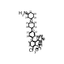 CS(=O)(=O)c1c(C(F)(F)F)ccc(-c2ccc(C3CCN(C4CCCC(N)C4)CC3)cc2)c1-c1nnn[nH]1